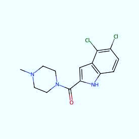 CN1CCN(C(=O)c2cc3c(Cl)c(Cl)ccc3[nH]2)CC1